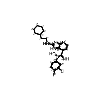 N=C(c1ccnc2nc(NCCC3CCCCC3)[nH]c12)N(O)c1ccc(F)c(Cl)c1